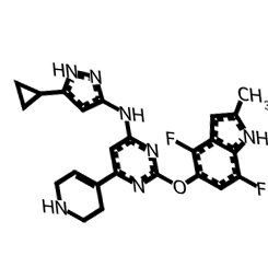 Cc1cc2c(F)c(Oc3nc(Nc4cc(C5CC5)[nH]n4)cc(C4=CCNCC4)n3)cc(F)c2[nH]1